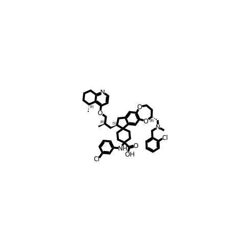 C[C@@H](COc1ccnc2c1[C@H](C)CCC2)C[C@H]1Cc2cc3c(cc2C12CCC(Nc1cccc(Cl)c1)(C(=O)O)CC2)O[C@@H](CN(C)Cc1ccccc1Cl)CCO3